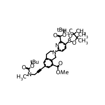 COC(=O)c1cc(C#CCN(C)C(=O)OC(C)(C)C)cc2c1CN(c1ccc(B3OC(C)(C)C(C)(C)O3)c(C(=O)OC(C)(C)C)n1)CC2